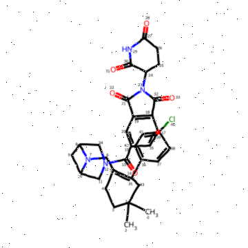 CC1(C)CCC(CN2C3CC2CN(C(=O)c2ccc4c(c2)C(=O)N(C2CCC(=O)NC2=O)C4=O)C3)=C(c2ccc(Cl)cc2)C1